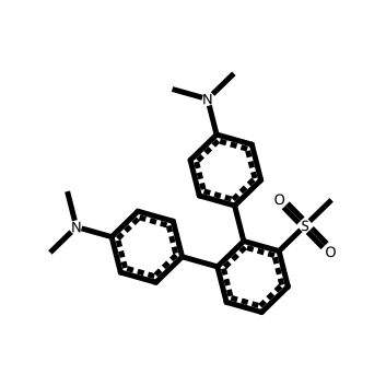 CN(C)c1ccc(-c2cccc(S(C)(=O)=O)c2-c2ccc(N(C)C)cc2)cc1